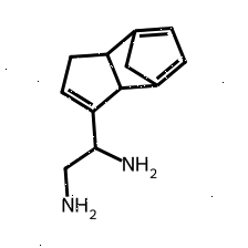 NCC(N)C1=CCC2C3=CC=C(C3)C12